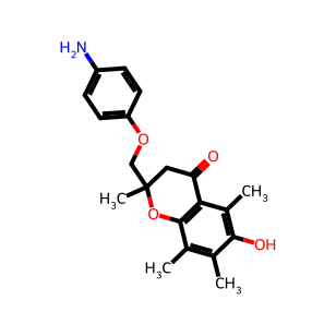 Cc1c(C)c2c(c(C)c1O)C(=O)CC(C)(COc1ccc(N)cc1)O2